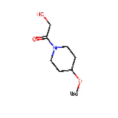 CC(C)(C)OC1CCN(C(=O)CO)CC1